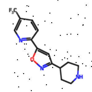 FC(F)(F)c1ccc(-c2cc(C3CCNCC3)no2)nc1